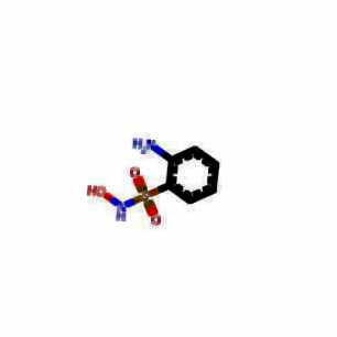 Nc1ccccc1S(=O)(=O)NO